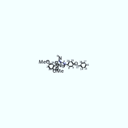 C=N/C=C(\C=C(/C)c1ccc(OCc2ccccc2)cc1)NS(=O)(=O)c1cc(OC)ccc1OC